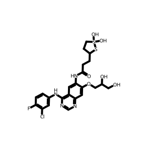 O=C(CCC1CCS(O)(O)S1)Nc1cc2c(Nc3ccc(F)c(Cl)c3)ncnc2cc1OCC(O)CO